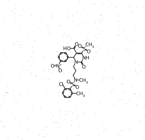 Cc1cccc(Cl)c1S(=O)(=O)N(C)CCCN1C(=O)NC(S(C)(=O)=O)=C(C(=O)O)C1c1cccc([N+](=O)[O-])c1